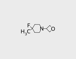 CC1(F)CCN(C2COC2)CC1